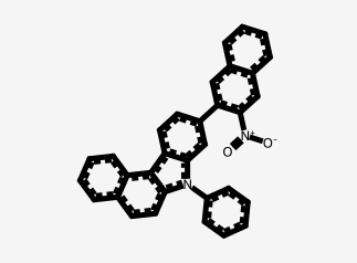 O=[N+]([O-])c1cc2ccccc2cc1-c1ccc2c3c4ccccc4ccc3n(-c3ccccc3)c2c1